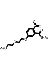 COCCOCCOc1ccc(I(=O)=O)c(C(=O)NC(C)=O)c1